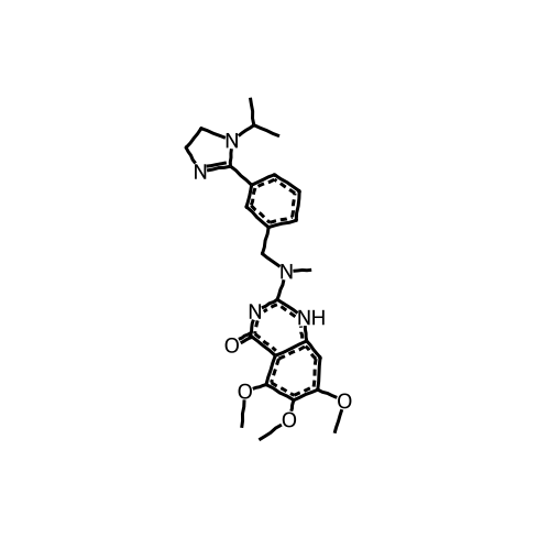 COc1cc2[nH]c(N(C)Cc3cccc(C4=NCCN4C(C)C)c3)nc(=O)c2c(OC)c1OC